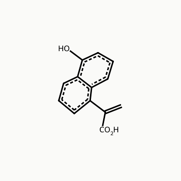 C=C(C(=O)O)c1cccc2c(O)cccc12